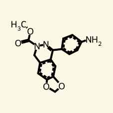 COC(=O)N1Cc2cc3c(cc2C(c2ccc(N)cc2)=N1)OCO3